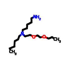 CCCCCCN(CCCCCN)CCOCCOCCC